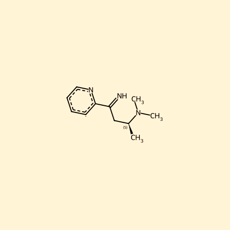 C[C@@H](CC(=N)c1[c]cccn1)N(C)C